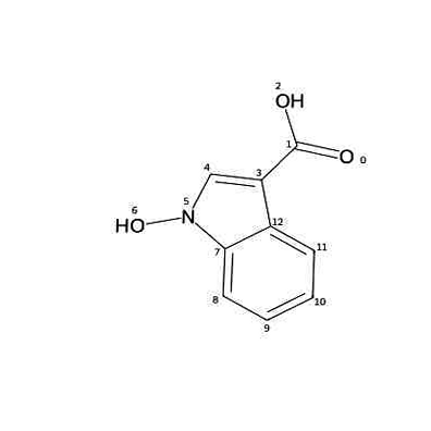 O=C(O)c1cn(O)c2ccccc12